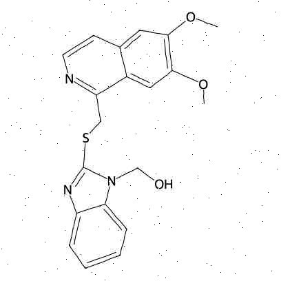 COc1cc2ccnc(CSc3nc4ccccc4n3CO)c2cc1OC